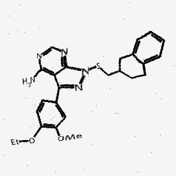 CCOc1ccc(-c2nn(SCC3CCc4ccccc4C3)c3ncnc(N)c23)cc1OC